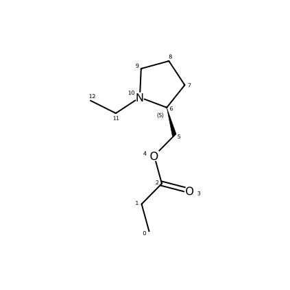 CCC(=O)OC[C@@H]1CCCN1CC